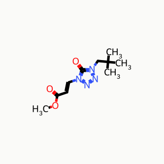 COC(=O)/C=C/n1nnn(CC(C)(C)C)c1=O